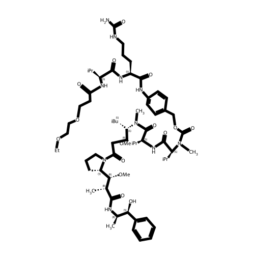 CCOCCOCCC(=O)N[C@H](C(=O)N[C@@H](CCCNC(N)=O)C(=O)Nc1ccc(COC(=O)N(C)[C@H](C(=O)N[C@H](C(=O)N(C)[C@@H]([C@@H](C)CC)[C@@H](CC(=O)N2CCC[C@H]2[C@H](OC)[C@@H](C)C(=O)N[C@H](C)[C@@H](O)c2ccccc2)OC)C(C)C)C(C)C)cc1)C(C)C